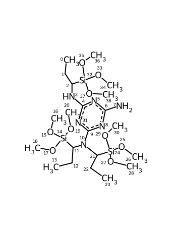 CCC(Nc1nc(N)nc(N(C(CC)[Si](OC)(OC)OC)C(CC)[Si](OC)(OC)OC)n1)[Si](OC)(OC)OC